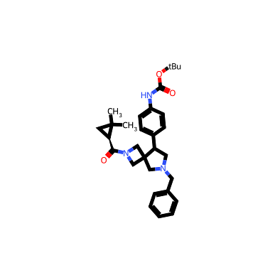 CC(C)(C)OC(=O)Nc1ccc(C2CN(Cc3ccccc3)CC23CN(C(=O)[C@H]2CC2(C)C)C3)cc1